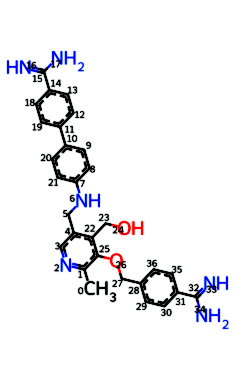 Cc1ncc(CNc2ccc(-c3ccc(C(=N)N)cc3)cc2)c(CO)c1OCc1ccc(C(=N)N)cc1